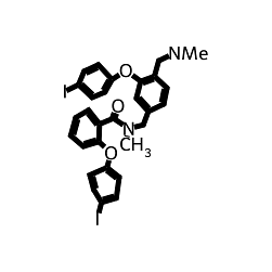 CNCc1ccc(CN(C)C(=O)c2ccccc2Oc2ccc(I)cc2)cc1Oc1ccc(I)cc1